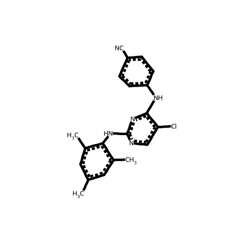 Cc1cc(C)c(Nc2ncc(Cl)c(Nc3ccc(C#N)cc3)n2)c(C)c1